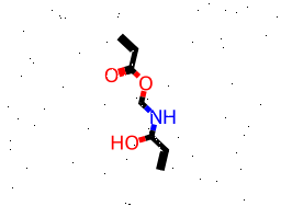 C=CC(=O)OCNC(O)C=C